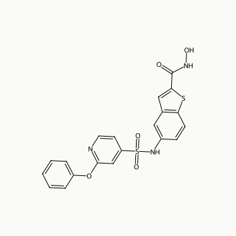 O=C(NO)c1cc2cc(NS(=O)(=O)c3ccnc(Oc4ccccc4)c3)ccc2s1